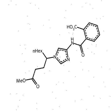 CCCCCCC(CCC(=O)OC)n1cnc(NC(=O)c2ccccc2C(=O)O)c1